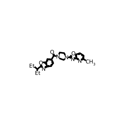 CCC(CC)c1nc2ccc(C(=O)N3CCN(c4nc5nc(C)ccc5o4)CC3)cc2o1